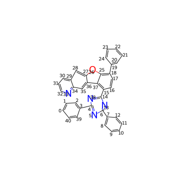 c1ccc(-c2nc(-c3ccccc3)nc(-c3ccc(-c4ccccc4)c4oc5cc6cccnc6cc5c34)n2)cc1